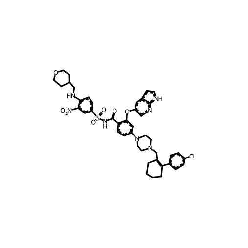 O=C(NS(=O)(=O)c1ccc(NCC2CCOCC2)c([N+](=O)[O-])c1)c1ccc(N2CCN(CC3=C(c4ccc(Cl)cc4)CCCC3)CC2)cc1Oc1cnc2[nH]ccc2c1